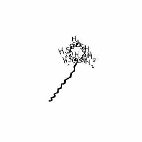 CCCCCCCCCCCCCCCC[SiH]1O[SiH2]O[SiH2]O[SiH2]O[SiH2]O[SiH2]O[SiH2]O1